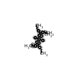 CCCCc1ccc(N(c2ccc(OC(C)C)cc2)c2ccc3c4c(-c5ccccc5)c5c6cccc7c(N(c8ccc(CCCC)cc8)c8ccc(OC(C)C)cc8)ccc(c5c(-c5ccccc5)c4c4cccc2c43)c76)cc1